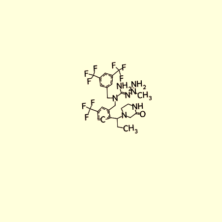 CCC(c1ccc(C(F)(F)F)cc1CN(Cc1cc(C(F)(F)F)cc(C(F)(F)F)c1)/C(N)=N/N(C)N)N1CCNC(=O)C1